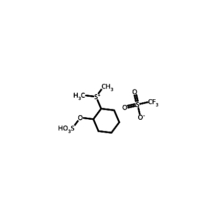 C[S+](C)C1CCCCC1OS(=O)(=O)O.O=S(=O)([O-])C(F)(F)F